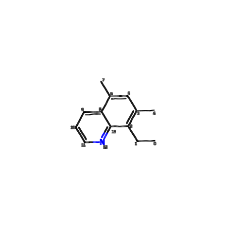 CCc1c(C)cc(C)c2cccnc12